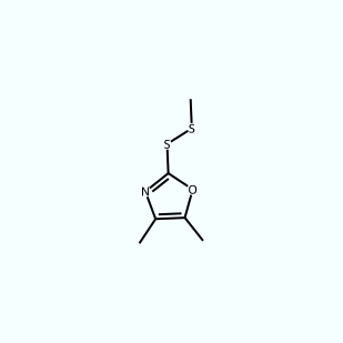 CSSc1nc(C)c(C)o1